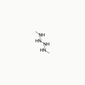 CNNNNC